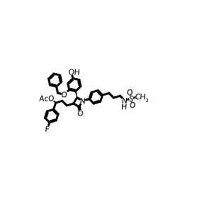 CC(=O)O[C@@H](CCC1C(=O)N(c2ccc(CCCNS(C)(=O)=O)cc2)[C@@H]1c1ccc(O)cc1OCc1ccccc1)c1ccc(F)cc1